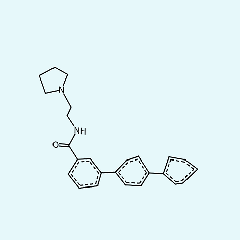 O=C(NCCN1CCCC1)c1cccc(-c2ccc(-c3ccccc3)cc2)c1